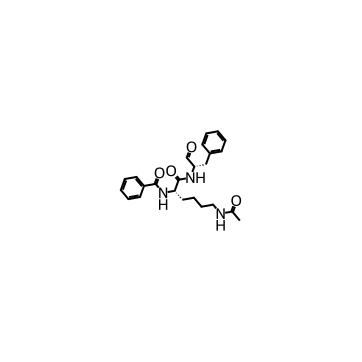 CC(=O)NCCCC[C@H](NC(=O)c1ccccc1)C(=O)N[C@H](C=O)Cc1ccccc1